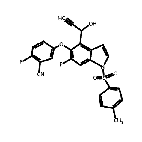 C#CC(O)c1c(Oc2ccc(F)c(C#N)c2)c(F)cc2c1ccn2S(=O)(=O)c1ccc(C)cc1